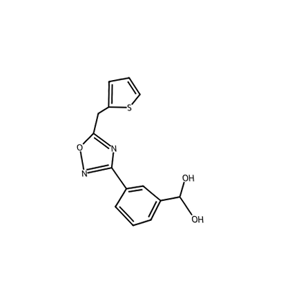 OC(O)c1cccc(-c2noc(Cc3cccs3)n2)c1